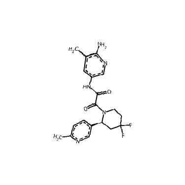 Cc1ccc([C@@H]2CC(F)(F)CCN2C(=O)C(=O)Nc2cnc(N)c(C)c2)cn1